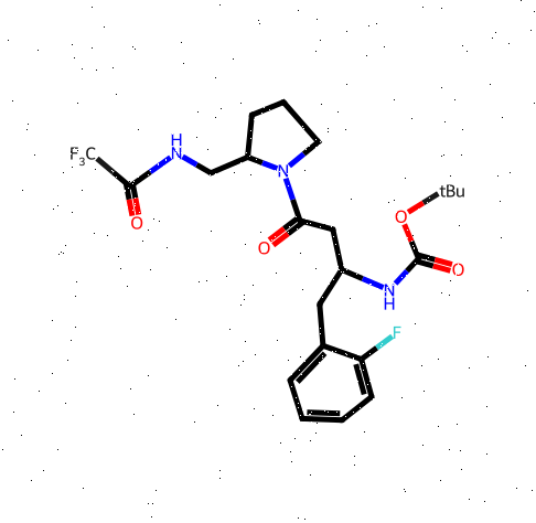 CC(C)(C)OC(=O)NC(CC(=O)N1CCCC1CNC(=O)C(F)(F)F)Cc1ccccc1F